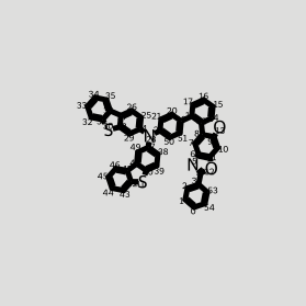 c1ccc(-c2nc3cc4c(cc3o2)oc2cccc(-c3ccc(N(c5ccc6c(c5)sc5ccccc56)c5ccc6sc7ccccc7c6c5)cc3)c24)cc1